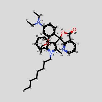 CCCCCCCCn1c(C)c(C2(c3ccc(N(CC)CC)cc3OCC)OC(=O)c3cccnc32)c2ccccc21